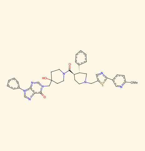 COc1ccc(-c2ncc(CN3CC[C@@H](C(=O)N4CCC(O)(Cn5cnc6c(ncn6-c6ccccc6)c5=O)CC4)[C@H](c4ccccc4)C3)s2)cn1